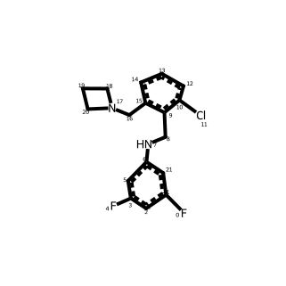 Fc1[c]c(F)cc(NCc2c(Cl)cccc2CN2CCC2)c1